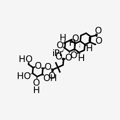 CC(C)[C@]12O[C@H]1[C@@H]1O[C@]13[C@]1(O[C@H]1C[C@H]1C4=C(CC[C@@]13C)C(=O)OC4)[C@@H]2OC(=O)CC(C)(C)C(=O)OC1OC(CO)[C@@H](O)[C@H](O)C1O